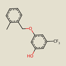 Cc1ccccc1COc1cc(O)cc(C(F)(F)F)c1